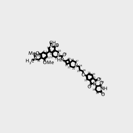 COc1cc(-c2cn(C)c(=O)c3c2CCN(C(=O)NC2CC4(CCN(CCCOc5ccc6c(c5)C(=O)N(C5CCC(=O)NC5=O)C6=O)CC4)C2)C3)cc(OC)c1CN(C)C